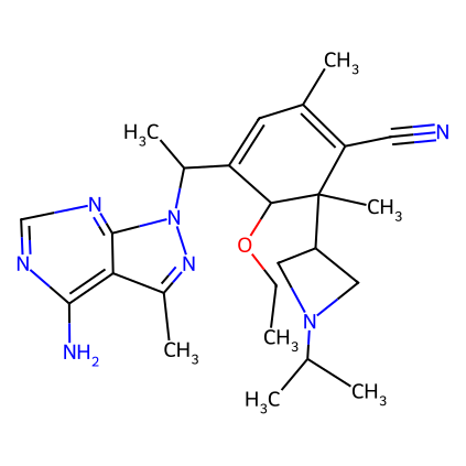 CCOC1C(C(C)n2nc(C)c3c(N)ncnc32)=CC(C)=C(C#N)C1(C)C1CN(C(C)C)C1